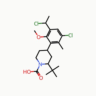 COc1c(C(C)Cl)cc(Cl)c(C)c1C1CCN(C(=O)O)C(C(C)(C)C)C1